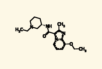 CCOc1cccn2c(C(=O)N[C@H]3CCCN(CC)C3)c(C)nc12